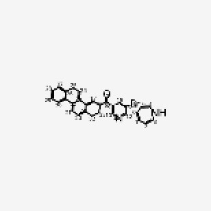 C1=CC=CNC=C1.O=C(c1cncc(Br)c1)C1C=c2c(ccc3c2=CCc2ccccc2-3)CC1